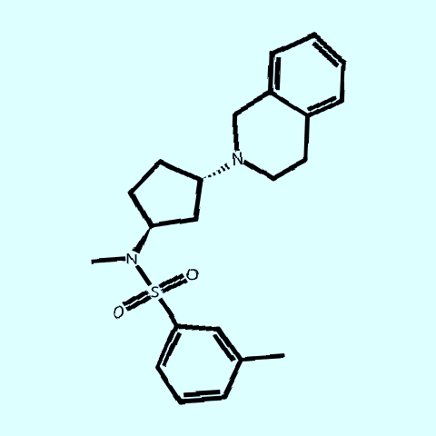 Cc1cccc(S(=O)(=O)N(C)[C@H]2CC[C@H](N3CCc4ccccc4C3)C2)c1